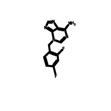 Nc1ncn(Cc2ccc(F)cc2F)c2ncnc1-2